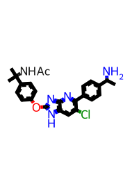 CC(=O)NC(C)(C)c1ccc(Oc2nc3nc(-c4ccc(C(C)N)cc4)c(Cl)cc3[nH]2)cc1